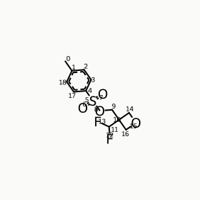 Cc1ccc(S(=O)(=O)OCC2(C(F)F)COC2)cc1